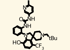 Cc1ccc(NC(=O)Nc2ccccc2N2CC3(CCN(CC(C)(C)C)CC3)c3c(C(F)(F)F)ccc(O)c32)cn1